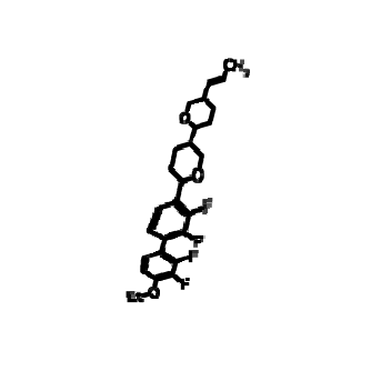 C/C=C/C1CCC(C2CCC(c3ccc(-c4ccc(OCC)c(F)c4F)c(F)c3F)OC2)OC1